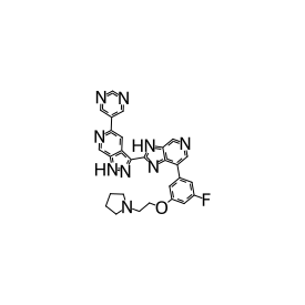 Fc1cc(OCCN2CCCC2)cc(-c2cncc3[nH]c(-c4n[nH]c5cnc(-c6cncnc6)cc45)nc23)c1